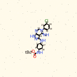 CC(C)(C)OC(=O)Nc1ccc(Nc2n[nH]c3ncn(-c4cccc(Cl)c4)c(=N)c23)cc1